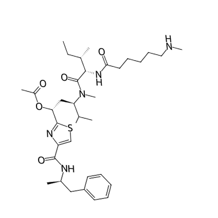 CC[C@H](C)[C@H](NC(=O)CCCCCNC)C(=O)N(C)[C@H](C[C@@H](OC(C)=O)c1nc(C(=O)N[C@H](C)Cc2ccccc2)cs1)C(C)C